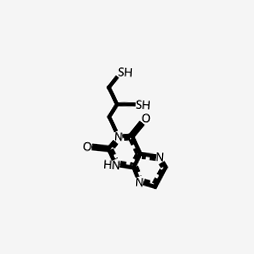 O=c1[nH]c2nccnc2c(=O)n1CC(S)CS